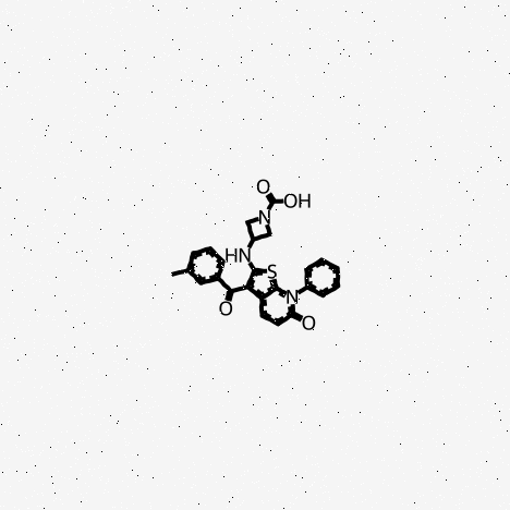 Cc1cccc(C(=O)c2c(NC3CN(C(=O)O)C3)sc3c2ccc(=O)n3-c2ccccc2)c1